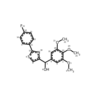 COc1cc(C(O)c2csc(-c3ccc(F)cc3)n2)cc(OC)c1OC